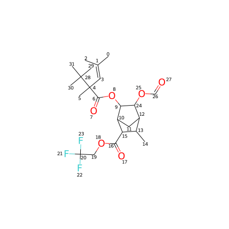 CC(C)=CC(C)(C(=O)OC1C2CC(C(C)C2C(=O)OCC(F)(F)F)C1OC=O)C(C)(C)C